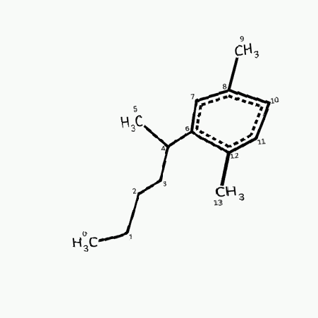 CCCCC(C)c1cc(C)ccc1C